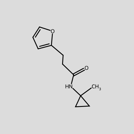 CC1(NC(=O)CCc2ccco2)CC1